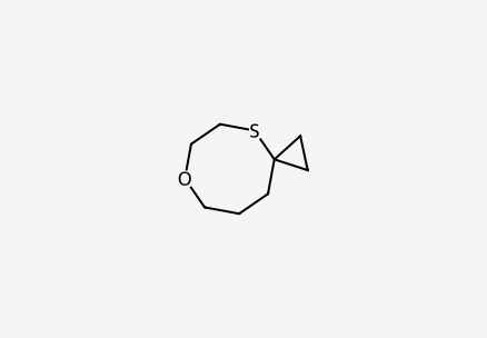 C1COCCSC2(C1)CC2